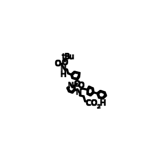 CC(C)(C)OC(=O)NCCc1cccc(Oc2ncccc2N(CCCC(=O)O)C(=O)c2ccc(-c3ccccc3)cc2)c1